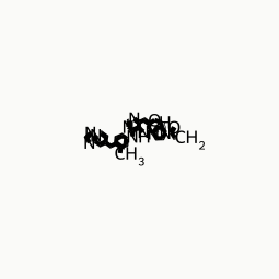 C=CC(=O)N1CCN2C[C@H]1COc1cc3ncnc(Nc4ccc(Cc5ccn6ncnc6c5)c(C)c4)c3nc12